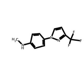 CNc1ccc(-n2ccc(C(F)(F)F)n2)cc1